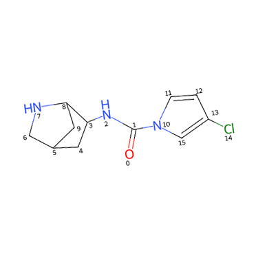 O=C(NC1CC2CNC1C2)n1ccc(Cl)c1